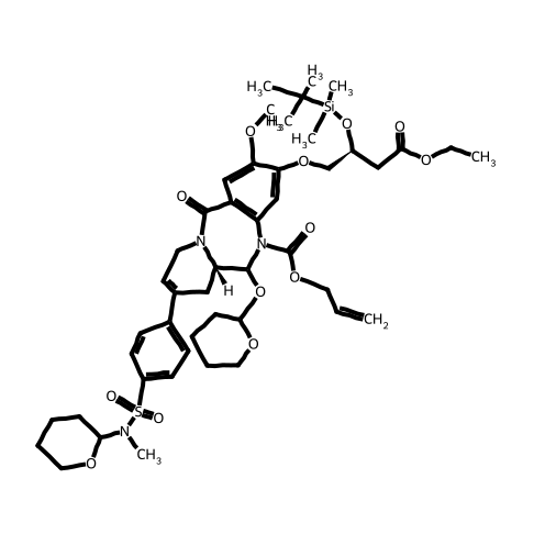 C=CCOC(=O)N1c2cc(OC[C@H](CC(=O)OCC)O[Si](C)(C)C(C)(C)C)c(OC)cc2C(=O)N2CC=C(c3ccc(S(=O)(=O)N(C)C4CCCCO4)cc3)C[C@H]2C1OC1CCCCO1